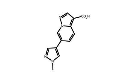 Cn1cc(-c2ccc3c(C(=O)O)cnn3c2)cn1